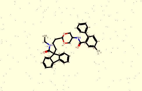 O=C(NC1COC(CCCC2(C(=O)NCC(F)(F)F)c3ccccc3-c3ccccc32)OC1)c1cc(C(F)(F)F)ccc1-c1ccccc1